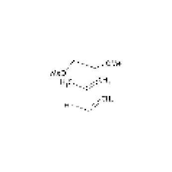 C=CC.C=CC.COCCOC